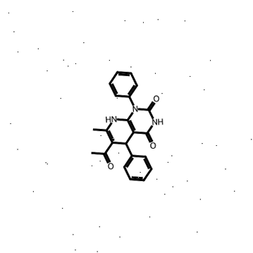 CC(=O)C1=C(C)Nc2c(c(=O)[nH]c(=O)n2-c2ccccc2)C1c1ccccc1